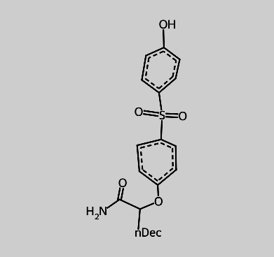 CCCCCCCCCCC(Oc1ccc(S(=O)(=O)c2ccc(O)cc2)cc1)C(N)=O